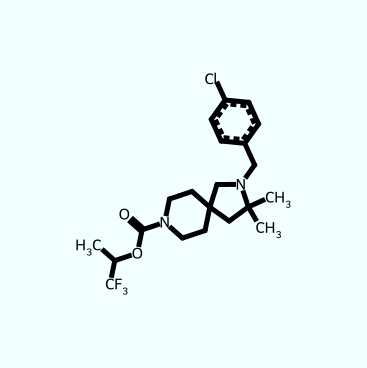 CC(OC(=O)N1CCC2(CC1)CN(Cc1ccc(Cl)cc1)C(C)(C)C2)C(F)(F)F